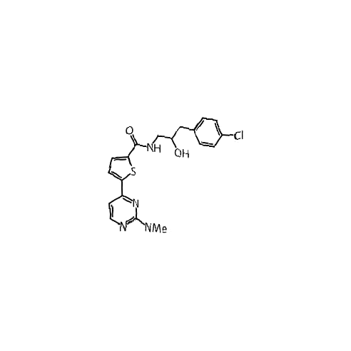 CNc1nccc(-c2ccc(C(=O)NCC(O)Cc3ccc(Cl)cc3)s2)n1